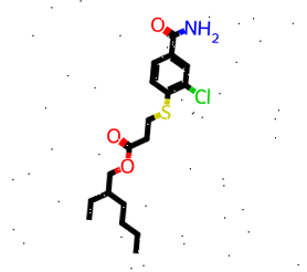 CCCCC(CC)COC(=O)CCSc1ccc(C(N)=O)cc1Cl